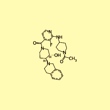 CC(=O)N1CCC(Nc2nccc(C(=O)N3CC[C@H](N4CCc5ccccc5C4)[C@@H](O)C3)c2F)CC1